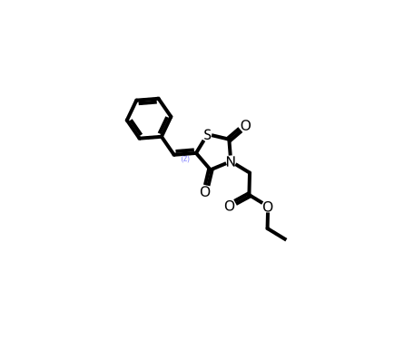 CCOC(=O)CN1C(=O)S/C(=C\c2ccccc2)C1=O